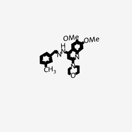 COc1cc2nc(N3CCOCC3)cc(NN=Cc3cccc(C)c3)c2cc1OC